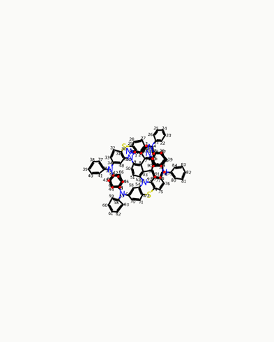 N#Cc1ccccc1-c1c(N2c3cc(N(c4ccccc4)c4ccccc4)ccc3Sc3ccc(N(c4ccccc4)c4ccccc4)cc32)ccc(N2c3cc(N(c4ccccc4)c4ccccc4)ccc3Sc3ccc(N(c4ccccc4)c4ccccc4)cc32)c1-c1ccccc1C#N